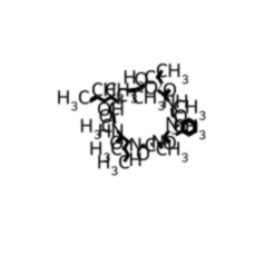 C/C=C(\C)[C@@H](O)[C@@H](C)[C@@H]1C/C=C(\C)C(=O)O[C@H](CC(C)C)C(=O)N[C@@H](C)C(=O)N(C)[C@H](Cc2ccccc2)C(=O)N(C)CC(=O)NC(C(C)CC)C(=O)N[C@H](C)C(=O)C1